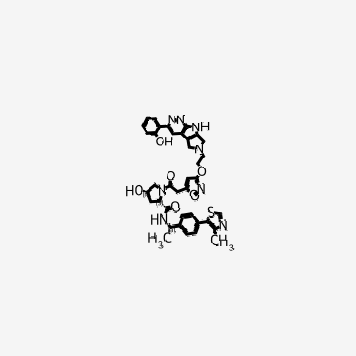 Cc1ncsc1-c1ccc([C@H](C)NC(=O)[C@@H]2C[C@@H](O)CN2C(=O)Cc2cc(OCCN3Cc4[nH]c5nnc(-c6ccccc6O)cc5c4C3)no2)cc1